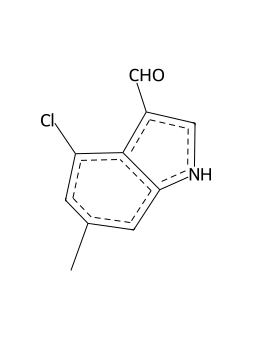 Cc1cc(Cl)c2c(C=O)c[nH]c2c1